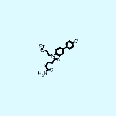 CCOCCn1c(CC[C@@H](C)C(N)=O)nc2cc(-c3ccc(Cl)cc3)ccc21